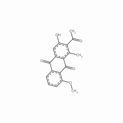 COc1cccc2c1C(=O)c1c(cc(O)c(C(C)=O)c1C)C2=O